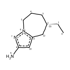 CC[C@H]1CCCn2nc(N)cc2C1